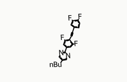 CCCCc1cnc(-c2cc(F)c(C#Cc3ccc(F)c(F)c3)c(F)c2)nc1